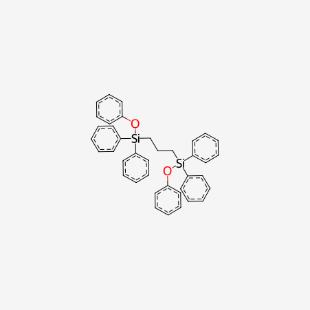 c1ccc(O[Si](CCC[Si](Oc2ccccc2)(c2ccccc2)c2ccccc2)(c2ccccc2)c2ccccc2)cc1